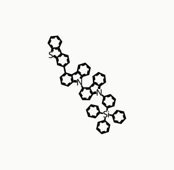 c1ccc([Si](c2ccccc2)(c2ccccc2)c2cccc(-n3c4ccccc4c4c(-n5c6ccccc6c6c(-c7ccc8c(c7)sc7ccccc78)cccc65)cccc43)c2)cc1